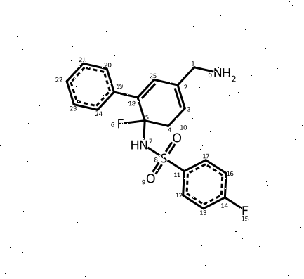 NCC1=CCC(F)(NS(=O)(=O)c2ccc(F)cc2)C(c2ccccc2)=C1